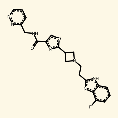 O=C(NCc1cccnn1)c1coc(C2CN(CCc3nc4c(F)cccc4[nH]3)C2)n1